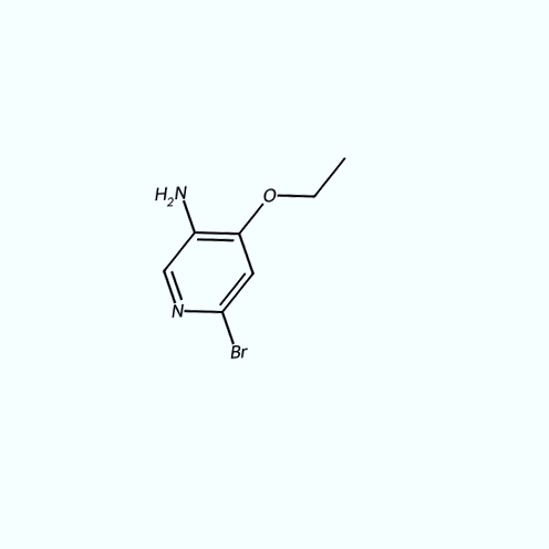 CCOc1cc(Br)ncc1N